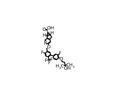 CC(C)(O)CCOc1ccc(-c2cc(COc3cc4c(cn3)[C@H]3[C@@H](C4)[C@@H]3C(=O)O)c(F)cc2C(F)(F)F)cc1F